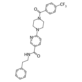 O=C(NCCc1ccccc1)c1ccc(N2CCN(C(=O)c3ccc(C(F)(F)F)cc3)CC2)nc1